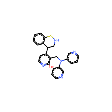 Oc1nccc(C2CNSc3ccccc32)c1CN(c1cccnc1)c1cccnc1